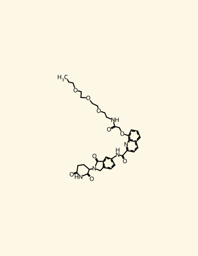 CCCOCCOCCOCCNC(=O)COc1cccc2ccc(C(=O)Nc3ccc4c(c3)C(=O)N(C3CCC(=O)NC3=O)C4)nc12